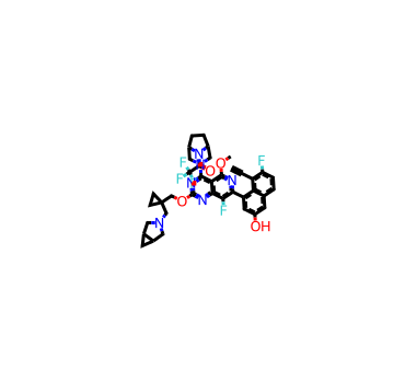 C#Cc1c(F)ccc2cc(O)cc(-c3nc(OC)c4c(N5CC6CCC(C5)N6C(=O)C(F)(F)F)nc(OCC5(CN6CC7CC7C6)CC5)nc4c3F)c12